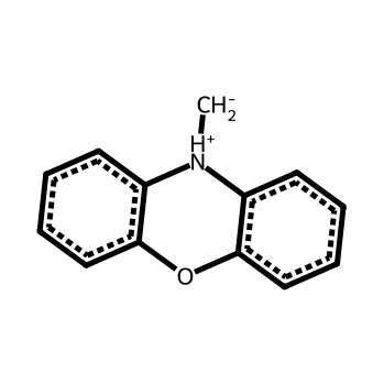 [CH2-][NH+]1c2ccccc2Oc2ccccc21